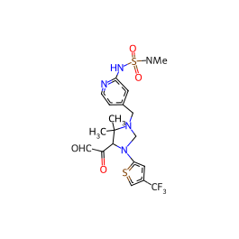 CNS(=O)(=O)Nc1cc(CN2CN(c3cc(C(F)(F)F)cs3)C(C(=O)C=O)C2(C)C)ccn1